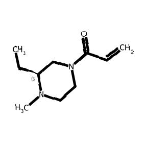 C=CC(=O)N1CCN(C)[C@@H](CC)C1